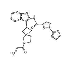 C=CC(=O)N1CC[C@]2(C1)C[C@H](n1c(NC(=O)c3ccc(-n4cccn4)s3)nc3ccccc31)C2